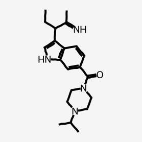 CCC(C(C)=N)c1c[nH]c2cc(C(=O)N3CCN(C(C)C)CC3)ccc12